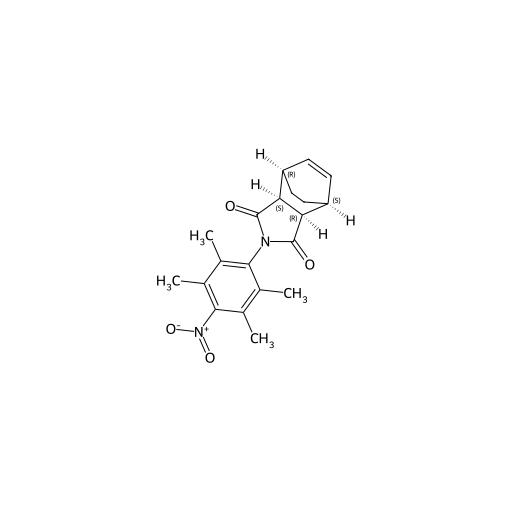 Cc1c(C)c([N+](=O)[O-])c(C)c(C)c1N1C(=O)[C@@H]2[C@H](C1=O)[C@@H]1C=C[C@H]2CC1